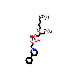 CC(C)COCC(COP(=O)(O)OCC[n+]1cccc(-c2ccccc2)c1)OCCCCC(=O)O